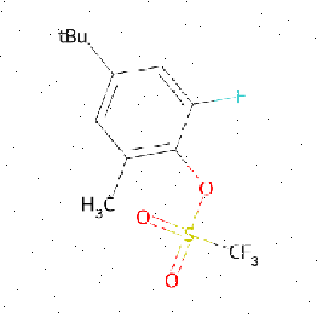 Cc1cc(C(C)(C)C)cc(F)c1OS(=O)(=O)C(F)(F)F